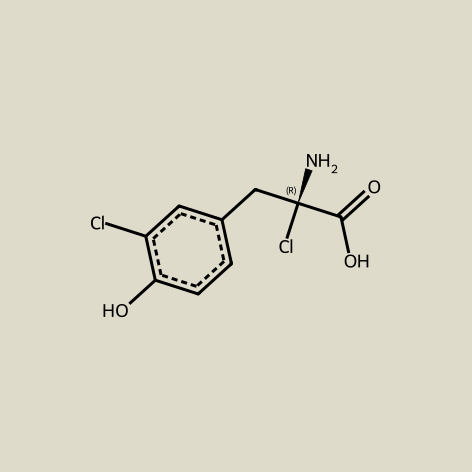 N[C@@](Cl)(Cc1ccc(O)c(Cl)c1)C(=O)O